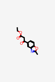 CCOC(=O)CC(=O)c1ccc2oc(C)nc2c1